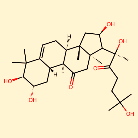 CC(C)(O)CCC(=O)[C@](C)(O)C1[C@H](O)C[C@@]2(C)[C@@H]3CC=C4[C@@H](C[C@H](O)[C@@H](O)C4(C)C)[C@]3(C)C(=O)C[C@]12C